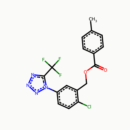 Cc1ccc(C(=O)OCc2cc(-n3nnnc3C(F)(F)F)ccc2Cl)cc1